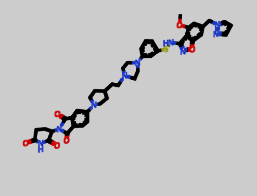 COc1cc(Cn2cccn2)cc2onc(NSc3cccc(N4CCN(CCC5CCN(c6ccc7c(c6)C(=O)N(C6CCC(=O)NC6=O)C7=O)CC5)CC4)c3)c12